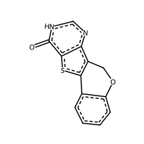 O=c1[nH]cnc2c3c(sc12)-c1ccccc1OC3